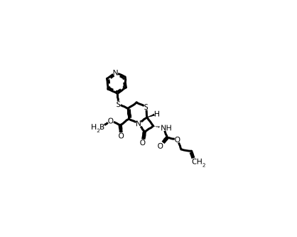 BOC(=O)C1=C(Sc2ccncc2)CS[C@@H]2[C@H](NC(=O)OCC=C)C(=O)N12